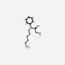 CCCCCCN(C(=O)CCl)c1ccccc1